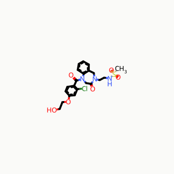 CS(=O)(=O)NCCN1Cc2ccccc2N(C(=O)c2ccc(OCCO)cc2Cl)CC1=O